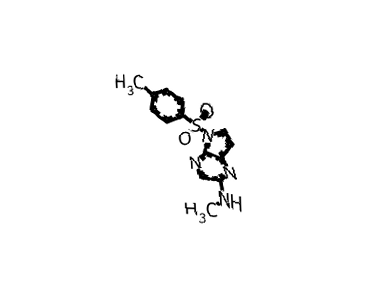 CNc1cnc2c(ccn2S(=O)(=O)c2ccc(C)cc2)n1